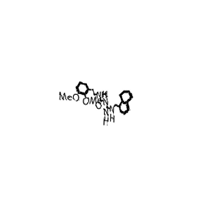 COc1cccc(CCNC(=O)NC(=N)NCc2cccc3ccccc23)c1OC